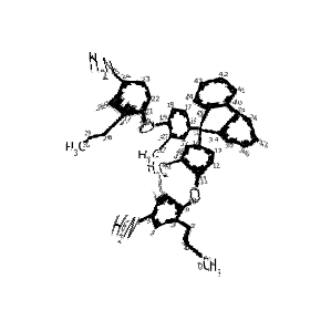 CCCc1cc(N)ccc1Oc1ccc(C2(c3ccc(Oc4ccc(N)cc4CCC)c(C)c3)c3ccccc3-c3ccccc32)cc1C